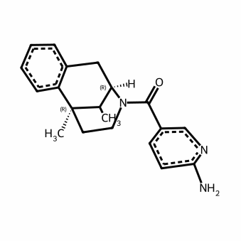 CC1[C@H]2Cc3ccccc3[C@]1(C)CCN2C(=O)c1ccc(N)nc1